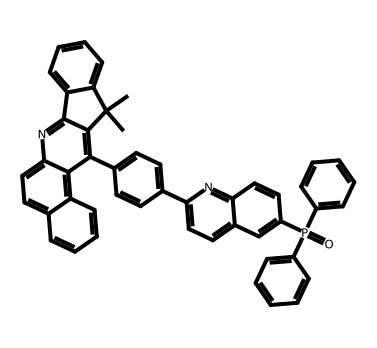 CC1(C)c2ccccc2-c2nc3ccc4ccccc4c3c(-c3ccc(-c4ccc5cc(P(=O)(c6ccccc6)c6ccccc6)ccc5n4)cc3)c21